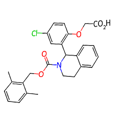 Cc1cccc(C)c1COC(=O)N1CCc2ccccc2C1c1cc(Cl)ccc1OCC(=O)O